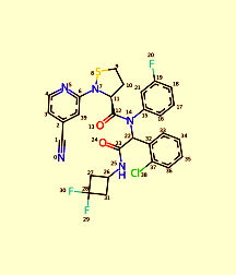 N#Cc1ccnc(N2SCC[C@H]2C(=O)N(c2cccc(F)c2)C(C(=O)NC2CC(F)(F)C2)c2ccccc2Cl)c1